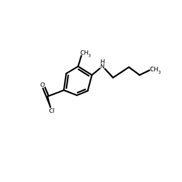 CCCCNc1ccc(C(=O)Cl)cc1C